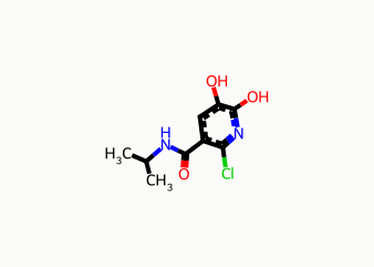 CC(C)NC(=O)c1cc(O)c(O)nc1Cl